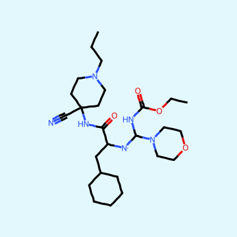 CCCN1CCC(C#N)(NC(=O)C(CC2CCCCC2)[N]C(NC(=O)OCC)N2CCOCC2)CC1